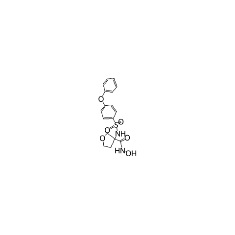 O=C(NO)C1(NS(=O)(=O)c2ccc(Oc3ccccc3)cc2)CCOC1